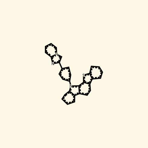 c1ccc2c(c1)sc1c2ccc2c3ccccc3n(-c3ccc(-c4cn5ccccc5n4)cc3)c21